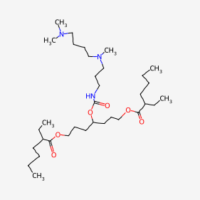 CCCCC(CC)C(=O)OCCCC(CCCOC(=O)C(CC)CCCC)OC(=O)NCCCN(C)CCCCN(C)C